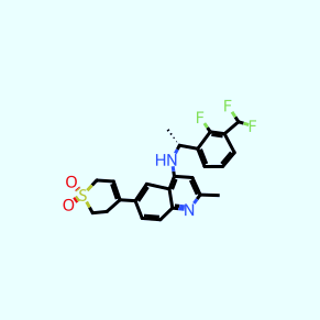 Cc1cc(N[C@H](C)c2cccc(C(F)F)c2F)c2cc(C3=CCS(=O)(=O)CC3)ccc2n1